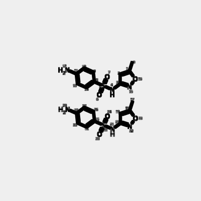 Cc1cc(NS(=O)(=O)c2ccc(N)cc2)no1.Cc1cc(NS(=O)(=O)c2ccc(N)cc2)no1